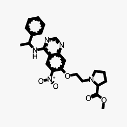 COC(=O)C1CCCN1CCOc1cc2ncnc(NC(C)c3ccccc3)c2cc1[N+](=O)[O-]